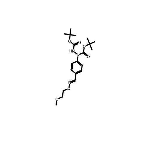 COCCON=Cc1ccc(N(NC(=O)OC(C)(C)C)C(=O)OC(C)(C)C)cc1